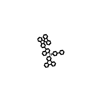 c1ccc(-c2ccc(N(c3ccc4c5ccccc5c5ccccc5c4c3)c3ccc(-c4ccc5c(c4)C4(c6ccccc6-c6ccccc64)c4ccccc4-5)c4ccccc34)cc2)cc1